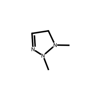 CN1CC=NN1C